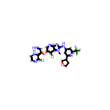 Cn1c(Nc2cc(C3CCOC3)nc(C(F)(F)F)c2)nc2ncc(O/C(C=N)=C3/NC=CN=C3Cl)c(Cl)c21